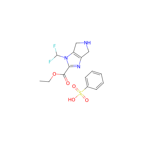 CCOC(=O)c1nc2c(n1C(F)F)CNC2.O=S(=O)(O)c1ccccc1